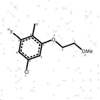 COCCOc1cc(Cl)cc(F)c1C